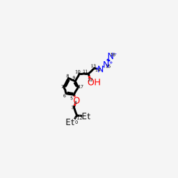 CCC(CC)COc1cccc(CC(O)CN=[N+]=[N-])c1